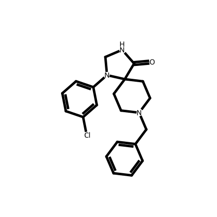 O=C1NCN(c2cccc(Cl)c2)C12CCN(Cc1ccccc1)CC2